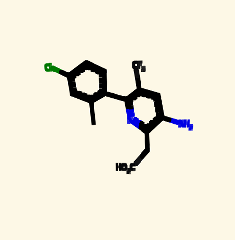 Cc1cc(Cl)ccc1-c1nc(CC(=O)O)c(N)cc1C(F)(F)F